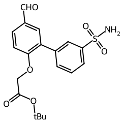 CC(C)(C)OC(=O)COc1ccc(C=O)cc1-c1cccc(S(N)(=O)=O)c1